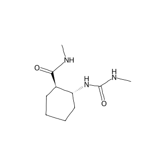 CNC(=O)N[C@@H]1CCCC[C@H]1C(=O)NC